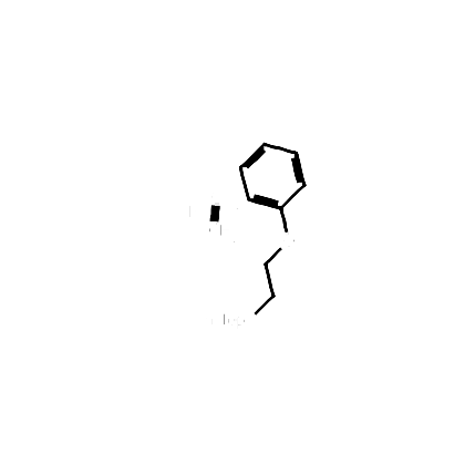 C=C.CCCCCCCCCOc1ccccc1.P